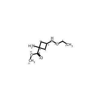 CCONC1CC(N)(C(=O)OC)C1